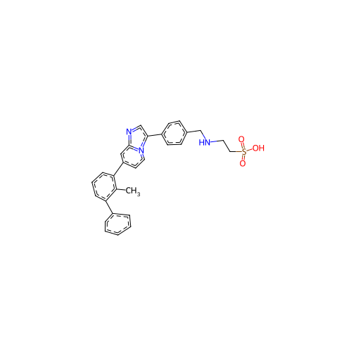 Cc1c(-c2ccccc2)cccc1-c1ccn2c(-c3ccc(CNCCS(=O)(=O)O)cc3)cnc2c1